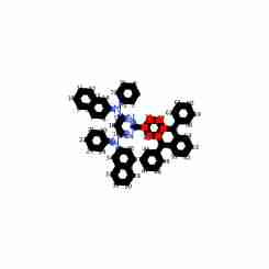 c1ccc(N(c2ccc3ccccc3c2)c2cc(N(c3ccccc3)c3ccc4ccccc4c3)nc(-c3ccc4c(c3)C3(c5ccccc5)c5ccccc5C4(c4ccccc4)c4ccccc43)n2)cc1